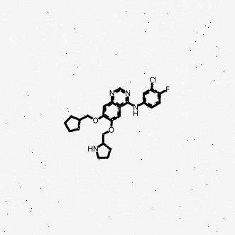 Fc1ccc(Nc2ncnc3cc(OCC4CCCC4)c(OCC4CCCN4)cc23)cc1Cl